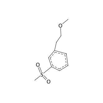 COCCc1cccc(S(C)(=O)=O)c1